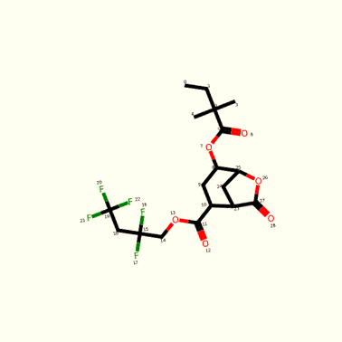 CCC(C)(C)C(=O)OC1CC(C(=O)OCC(F)(F)CC(F)(F)F)C2CC1OC2=O